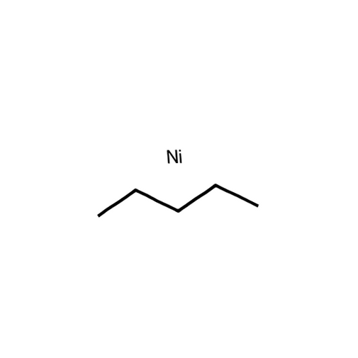 CCCCC.[Ni]